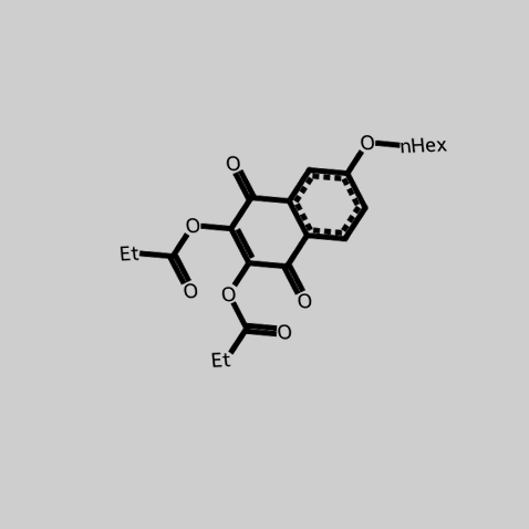 CCCCCCOc1ccc2c(c1)C(=O)C(OC(=O)CC)=C(OC(=O)CC)C2=O